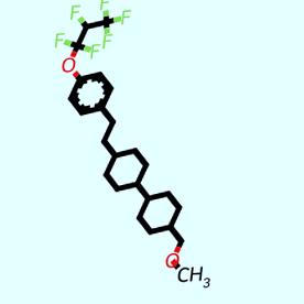 COCC1CCC(C2CCC(CCc3ccc(OC(F)(F)C(F)C(F)(F)F)cc3)CC2)CC1